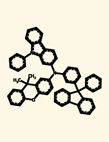 CC1(C)c2ccccc2Oc2ccc(N(c3cccc(C4(c5ccccc5)c5ccccc5-c5ccccc54)c3)c3ccc4c5ccccc5n(-c5ccccc5)c4c3)cc21